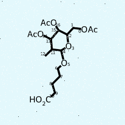 CC(=O)OCC1OC(OCCCCC(=O)O)C(C)C(OC(C)=O)C1OC(C)=O